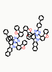 c1ccc(-c2ccc(-c3nc(-c4cccc5c4oc4cccc(-c6ccc(-c7nc(-c8cccc(-c9ccccc9)c8)nc(-c8c(-n9c%10cc%11ccccc%11cc%10c%10cc%11ccccc%11cc%109)ccc9oc%10ccccc%10c89)n7)c7oc8ccccc8c67)c45)nc(-c4c(-n5c6cc7ccccc7cc6c6c7ccccc7ccc65)ccc5oc6ccccc6c45)n3)cc2)cc1